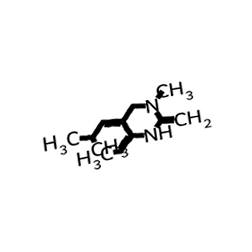 C=C1NC(=C/C)/C(=C\C(C)C)CN1C